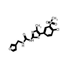 Cc1nc(NC(=O)NCc2ccoc2)sc1-c1ccc(Cl)c(S(C)(=O)=O)c1